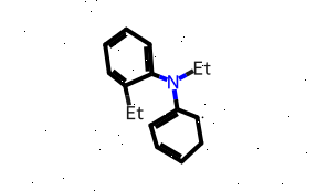 CCc1ccccc1N(CC)C1=CC=CC[CH]1